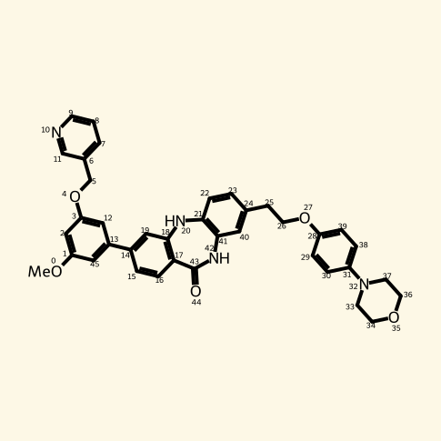 COc1cc(OCc2cccnc2)cc(-c2ccc3c(c2)Nc2ccc(CCOc4ccc(N5CCOCC5)cc4)cc2NC3=O)c1